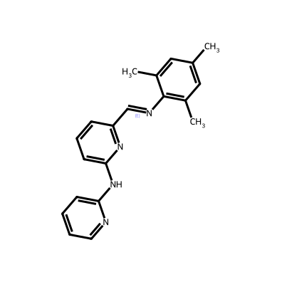 Cc1cc(C)c(/N=C/c2cccc(Nc3ccccn3)n2)c(C)c1